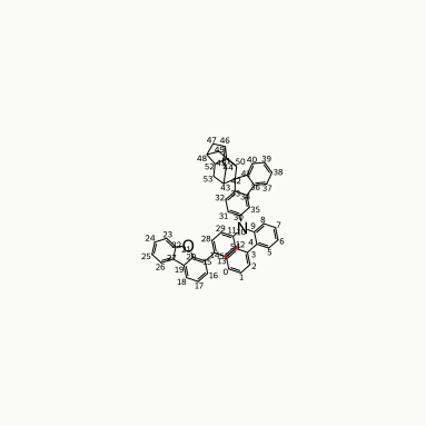 c1ccc(-c2ccccc2N(c2ccc(-c3cccc4c3oc3ccccc34)cc2)c2ccc3c(c2)-c2ccccc2C32C3CCC4CC5CC2C4C5C3)cc1